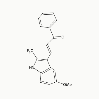 COc1ccc2[nH]c(C(F)(F)F)c(/C=C/C(=O)c3ccccc3)c2c1